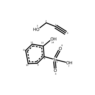 C#CCO.O=S(=O)(O)c1ccccc1O